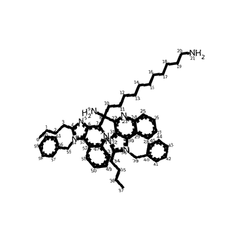 CCCCc1nc2c(C(N)(CCCCCCCCCCCN)c3nc4ccccc4c4c3nc(CCCC)n4Cc3ccccc3)nc3ccccc3c2n1Cc1ccccc1